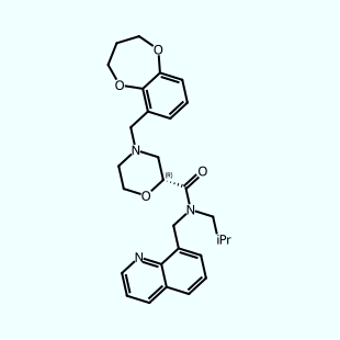 CC(C)CN(Cc1cccc2cccnc12)C(=O)[C@H]1CN(Cc2cccc3c2OCCCO3)CCO1